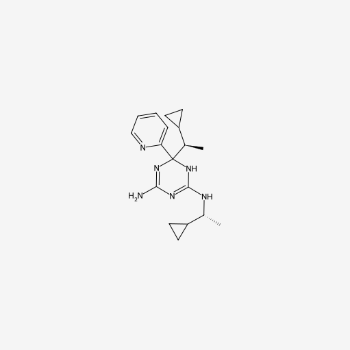 C[C@H](C1CC1)C1(c2ccccn2)N=C(N)N=C(N[C@H](C)C2CC2)N1